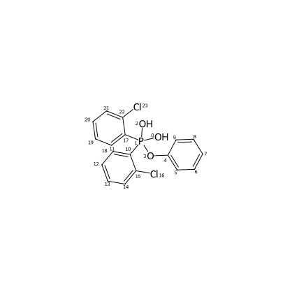 OP(O)(Oc1ccccc1)(c1ccccc1Cl)c1ccccc1Cl